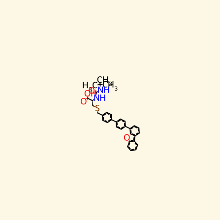 CC(C)(C)NC(=O)N[C@@H](CSCc1ccc(-c2ccc(-c3cccc4c3oc3ccccc34)cc2)cc1)C(=O)O